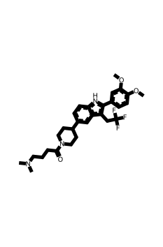 COc1ccc(-c2[nH]c3ccc(C4CCN(C(=O)CCCN(C)C)CC4)cc3c2CC(F)(F)F)cc1OC